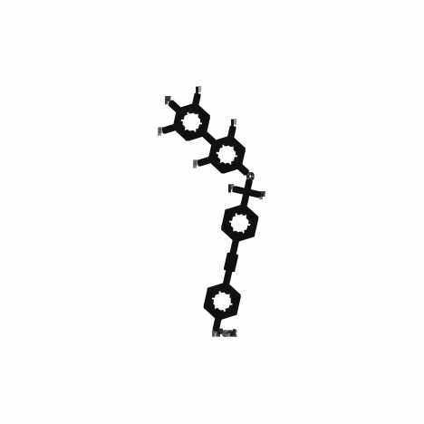 CCCCCc1ccc(C#Cc2ccc(C(F)(F)Oc3cc(F)c(-c4cc(F)c(F)c(F)c4)c(F)c3)cc2)cc1